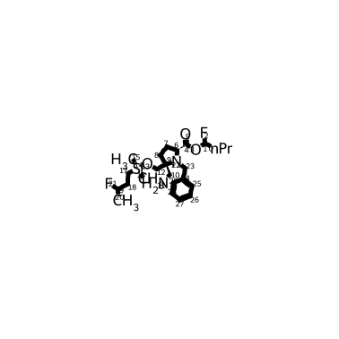 CCCC(F)OC(=O)[C@H]1CC[C@@](CN)(CO[Si](C)(C)CCC(C)F)N1Cc1ccccc1